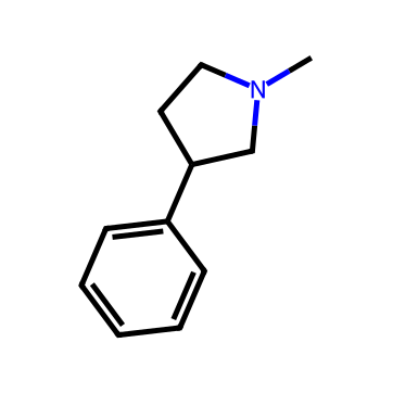 CN1CCC(c2ccccc2)C1